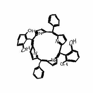 Oc1cccc(O)c1-c1c2nc(c(-c3ccccc3)c3ccc([nH]3)c(-c3c(O)cccc3O)c3nc(c(-c4ccccc4)c4ccc1[nH]4)C=C3)C=C2